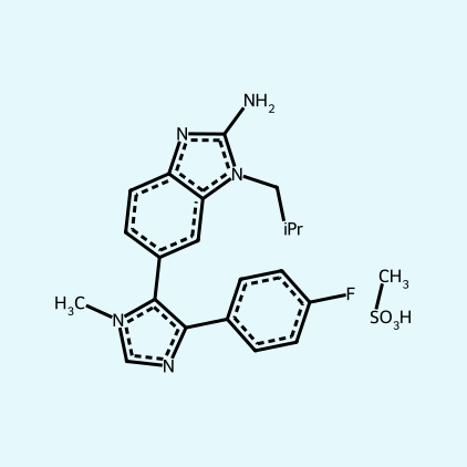 CC(C)Cn1c(N)nc2ccc(-c3c(-c4ccc(F)cc4)ncn3C)cc21.CS(=O)(=O)O